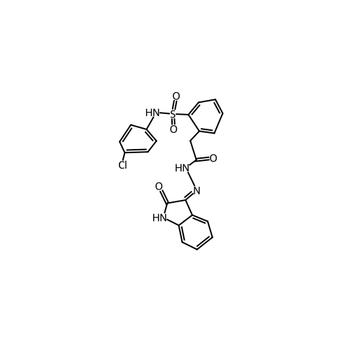 O=C(Cc1ccccc1S(=O)(=O)Nc1ccc(Cl)cc1)N/N=C1\C(=O)Nc2ccccc21